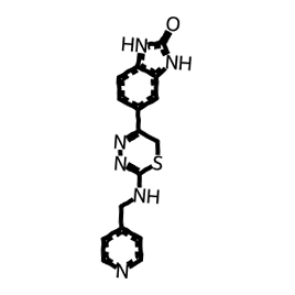 O=c1[nH]c2ccc(C3=NN=C(NCc4ccncc4)SC3)cc2[nH]1